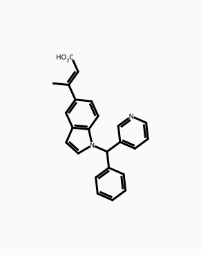 C/C(=C\C(=O)O)c1ccc2c(ccn2C(c2ccccc2)c2cccnc2)c1